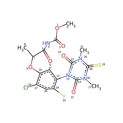 COC(=O)NC(=O)C(C)Oc1cc(-n2c(=O)n(C)c(=S)n(C)c2=O)c(F)cc1Cl